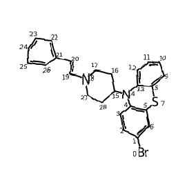 Brc1ccc2c(c1)Sc1ccccc1N2C1CCN(C=Cc2ccccc2)CC1